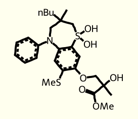 CCCCC1(C)CN(c2ccccc2)c2cc(SC)c(OCC(C)(O)C(=O)OC)cc2S(O)(O)C1